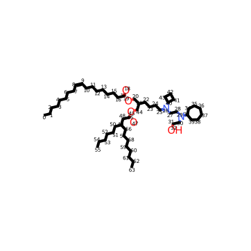 CCCCCCCC/C=C\CCCCCCCC(=O)OCC(CCCCN(CCN(CCO)C1CCCCCC1)C1CCC1)COC(=O)CC(CCCCCC)CCCCCCCC